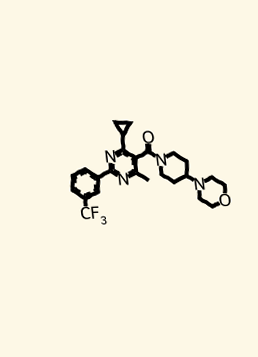 Cc1nc(-c2cccc(C(F)(F)F)c2)nc(C2CC2)c1C(=O)N1CCC(N2CCOCC2)CC1